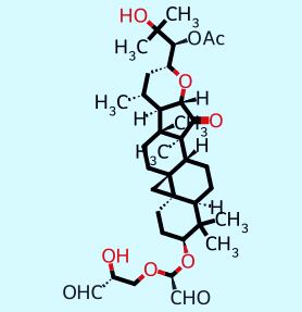 CC(=O)O[C@@H]([C@H]1C[C@@H](C)[C@H]2[C@H](O1)C(=O)[C@@]1(C)[C@@H]3CC[C@H]4C(C)(C)[C@@H](O[C@@H](C=O)OC[C@@H](O)C=O)CC[C@@]45C[C@@]35CC[C@]21C)C(C)(C)O